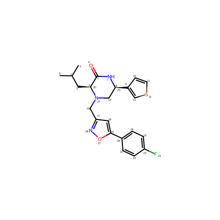 CC(C)C[C@H]1C(=O)N[C@@H](c2ccsc2)CN1Cc1cc(-c2ccc(F)cc2)on1